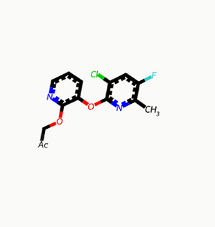 CC(=O)COc1ncccc1Oc1nc(C)c(F)cc1Cl